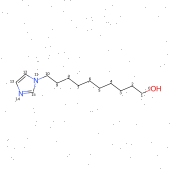 OCCCCCCCCCCn1ccnc1